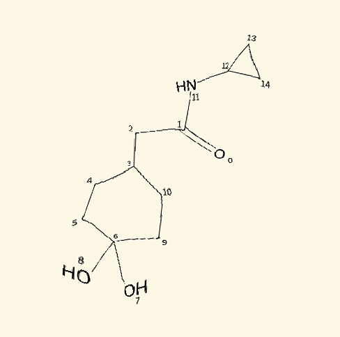 O=C(CC1CCC(O)(O)CC1)NC1CC1